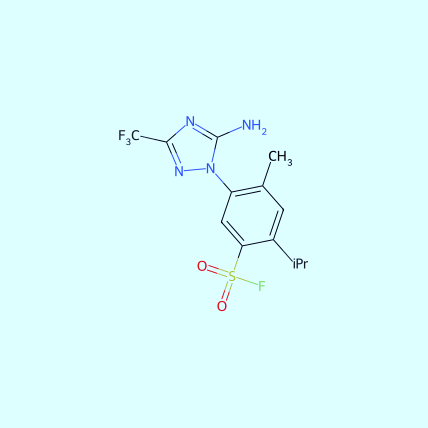 Cc1cc(C(C)C)c(S(=O)(=O)F)cc1-n1nc(C(F)(F)F)nc1N